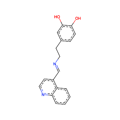 Oc1ccc(CCN=Cc2ccnc3ccccc23)cc1O